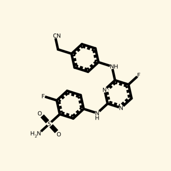 N#CCc1ccc(Nc2nc(Nc3ccc(F)c(S(N)(=O)=O)c3)ncc2F)cc1